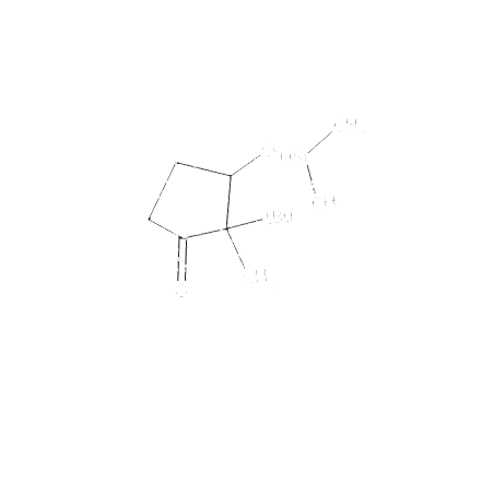 C[SiH](C)OC1CCC(=O)C1(C)C(C)(C)C